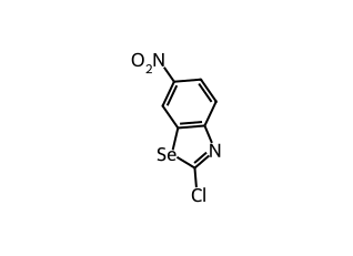 O=[N+]([O-])c1ccc2nc(Cl)[se]c2c1